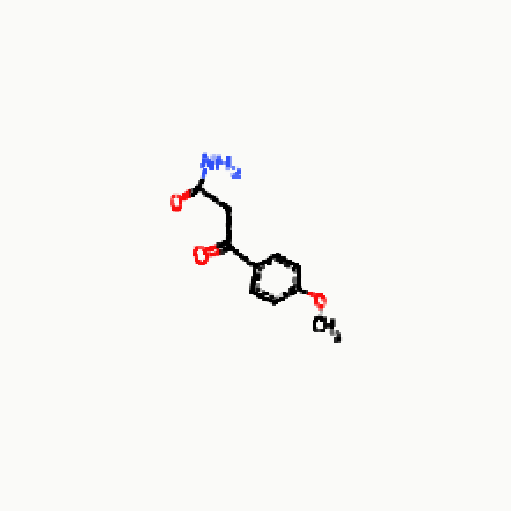 COc1ccc(C(=O)CC(N)=O)cc1